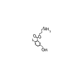 O=C(OCCC[SiH3])c1cc(CO)ccc1I